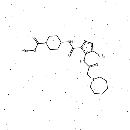 Cc1csc(C(=O)NC2CCN(C(=O)OC(C)(C)C)CC2)c1NC(=O)CN1CCCCCC1